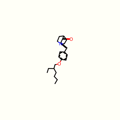 CCCCC(CC)COc1ccc(C=C2C(=O)C3CCN2CC3)cc1